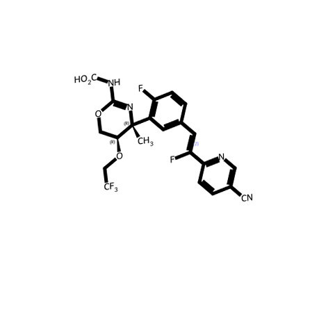 C[C@]1(c2cc(/C=C(\F)c3ccc(C#N)cn3)ccc2F)N=C(NC(=O)O)OC[C@@H]1OCC(F)(F)F